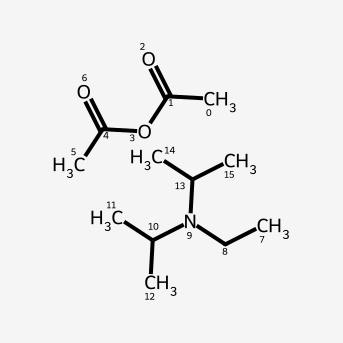 CC(=O)OC(C)=O.CCN(C(C)C)C(C)C